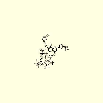 C=C[C@@H]1CC1(NC(=O)[C@@H]1CC(Oc2cc(-c3csc(NC(C)C)n3)nc3c(Cl)c(OCCN4CC[C@@H](OC)C4)ccc23)CN1C(=O)[C@@H](NC(=O)O[C@@H]1C[C@@H]2[C@H](C)[C@@H]2C1)C(C)(C)C)C(=O)O